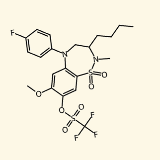 CCCCC1CN(c2ccc(F)cc2)c2cc(OC)c(OS(=O)(=O)C(F)(F)F)cc2S(=O)(=O)N1C